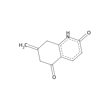 C=C1CC(=O)c2ccc(=O)[nH]c2C1